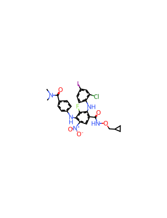 CN(C)C(=O)c1ccc(Nc2c([N+](=O)[O-])cc(C(=O)NOCC3CC3)c(Nc3ccc(I)cc3Cl)c2F)cc1